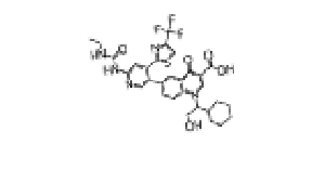 CCNC(=O)Nc1cc(-c2nc(C(F)(F)F)cs2)c(-c2ccc3c(c2)c(=O)c(C(=O)O)cn3C(CO)C2CCCCC2)cn1